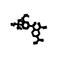 COc1cc(C(=O)N2CCN(C(=O)O)CC2C(=O)O)ccc1C(C)(C)C